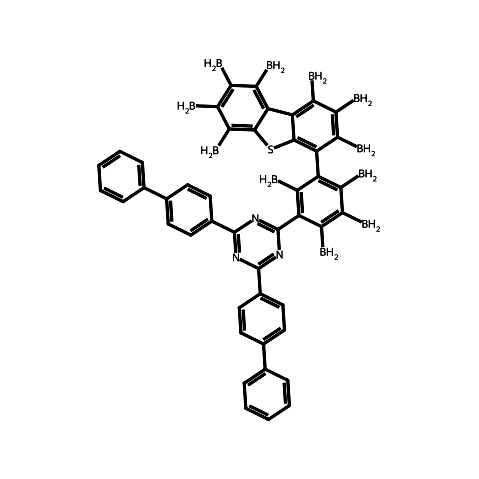 Bc1c(B)c(-c2nc(-c3ccc(-c4ccccc4)cc3)nc(-c3ccc(-c4ccccc4)cc3)n2)c(B)c(-c2c(B)c(B)c(B)c3c2sc2c(B)c(B)c(B)c(B)c23)c1B